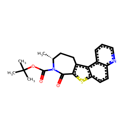 C[C@@H]1CCc2c(sc3ccc4ncccc4c23)C(=O)N1C(=O)OC(C)(C)C